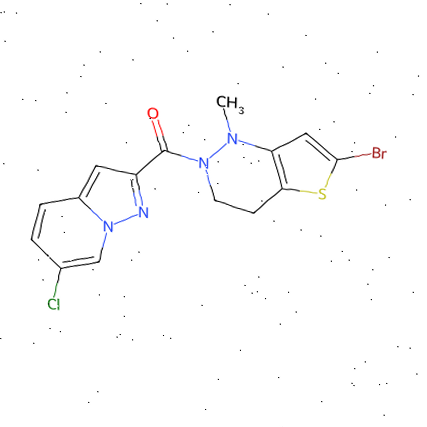 CN1c2cc(Br)sc2CCN1C(=O)c1cc2ccc(Cl)cn2n1